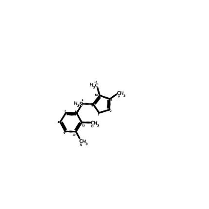 CC1=CCC([SiH2]c2cccc(C)c2C)=C1C